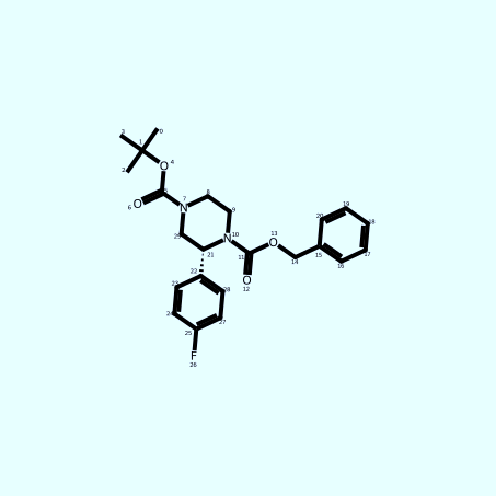 CC(C)(C)OC(=O)N1CCN(C(=O)OCc2ccccc2)[C@H](c2ccc(F)cc2)C1